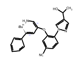 CC[C@@H](C)/C(=C\C(=C/N)Oc1cc(C#N)ccc1-n1cc(C(C)O)cn1)c1ccccc1